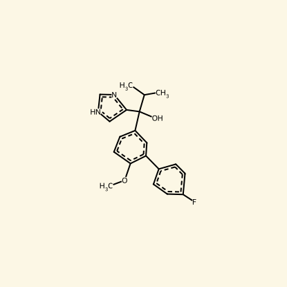 COc1ccc(C(O)(c2c[nH]cn2)C(C)C)cc1-c1ccc(F)cc1